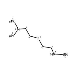 CCCN(CCC)CCOCCNC(C)(C)C